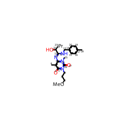 COCCCn1c(=O)c(C)c(/N=C(\NCc2ccc(C)cc2)C(O)C(C)C)n(C)c1=O